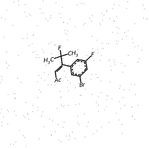 CC(=O)/C=C(\c1cc(F)cc(Br)c1)C(C)(C)F